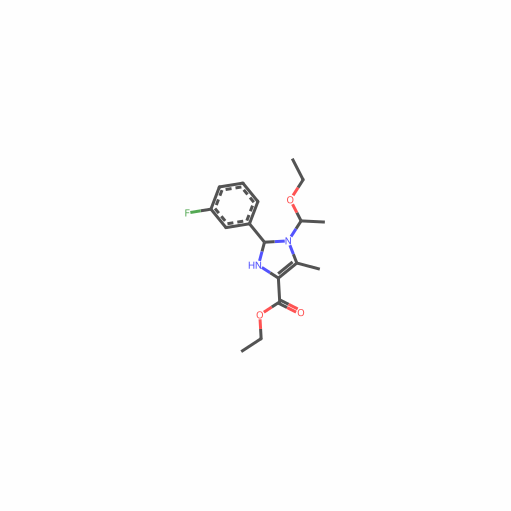 CCOC(=O)C1=C(C)N(C(C)OCC)C(c2cccc(F)c2)N1